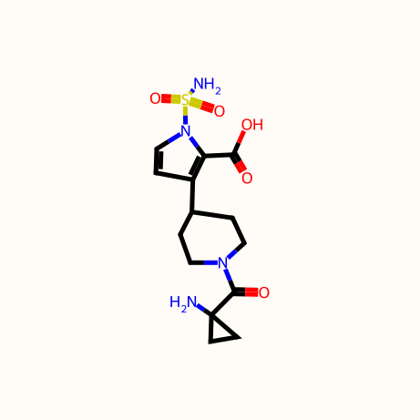 NC1(C(=O)N2CCC(c3ccn(S(N)(=O)=O)c3C(=O)O)CC2)CC1